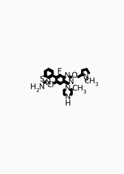 CC1CNCCN1c1nc(OCC2CCCN2C)nc2c(F)c(-c3cccc4sc(N)nc34)c(Cl)cc12